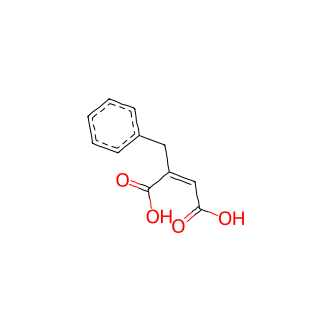 O=C(O)C=C(Cc1ccccc1)C(=O)O